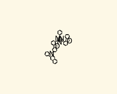 c1ccc(-c2nc(-c3cccc4c3oc3ccc(-n5c6ccccc6c6cc7ccccc7cc65)cc34)nc(-c3cccc4oc5ccccc5c34)n2)cc1